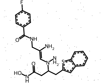 N/C(=C\N(N)C(CC(=O)NO)Cc1cc2ccccc2s1)CNC(=O)c1ccc(F)cc1